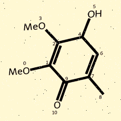 COC1=C(OC)C(O)C=C(C)C1=O